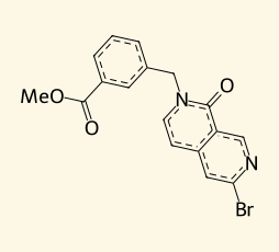 COC(=O)c1cccc(Cn2ccc3cc(Br)ncc3c2=O)c1